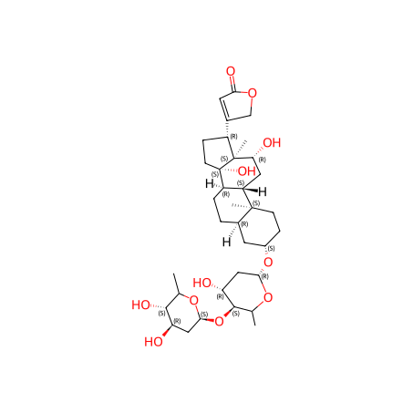 CC1O[C@@H](O[C@@H]2C(C)O[C@@H](O[C@H]3CC[C@@]4(C)[C@H](CC[C@@H]5[C@@H]4C[C@@H](O)[C@]4(C)[C@@H](C6=CC(=O)OC6)CC[C@]54O)C3)C[C@H]2O)C[C@@H](O)[C@@H]1O